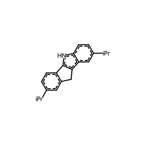 CC(C)c1ccc2c(c1)Cc1c-2[nH]c2ccc(C(C)C)cc12